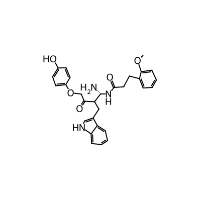 COc1ccccc1CCC(=O)N[C@@H](N)C(Cc1c[nH]c2ccccc12)C(=O)COc1ccc(O)cc1